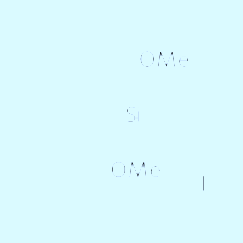 C=C[Si](CI)(OC)OC